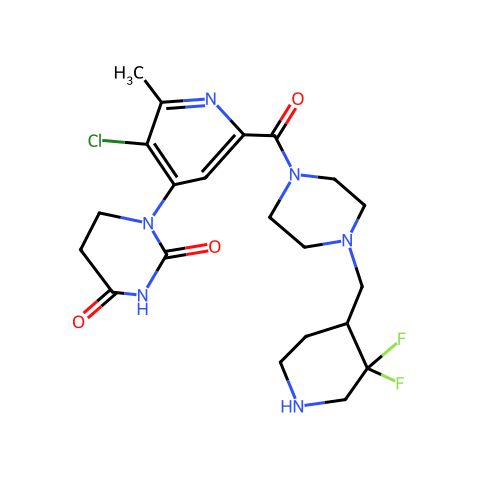 Cc1nc(C(=O)N2CCN(CC3CCNCC3(F)F)CC2)cc(N2CCC(=O)NC2=O)c1Cl